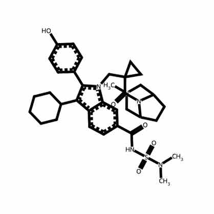 CN1CC2CCC(C1)N2C(=O)C1(Cn2c(-c3ccc(O)cc3)c(C3CCCCC3)c3ccc(C(=O)NS(=O)(=O)N(C)C)cc32)CC1